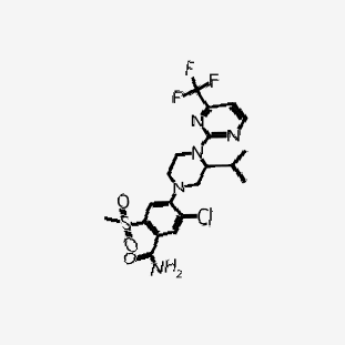 CC(C)C1CN(c2cc(S(C)(=O)=O)c(C(N)=O)cc2Cl)CCN1c1nccc(C(F)(F)F)n1